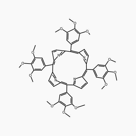 COc1cc(C2=C3C=CC(=N3)C(c3cc(OC)c(OC)c(OC)c3)=C3C=CC(=N3)C(c3cc(OC)c(OC)c(OC)c3)=C3C=CC(=N3)C(c3cc(OC)c(OC)c(OC)c3)=C3C=CC2=N3)cc(OC)c1OC